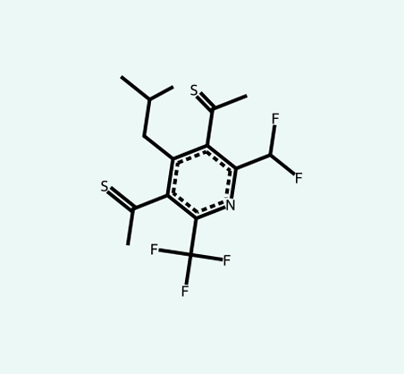 CC(=S)c1c(C(F)F)nc(C(F)(F)F)c(C(C)=S)c1CC(C)C